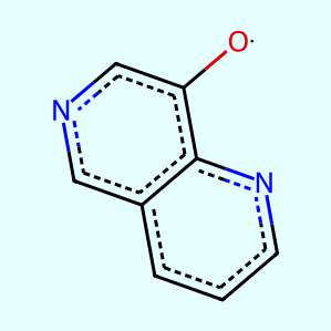 [O]c1cncc2cccnc12